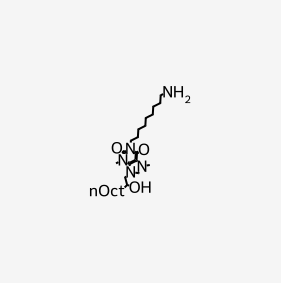 CCCCCCCCC(O)CN1CN(C)c2c1n(C)c(=O)n(CCCCCCCCCN)c2=O